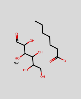 CCCCCCC(=O)[O-].O=CC(O)C(O)C(O)C(O)CO.[Na+]